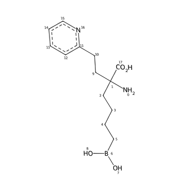 NC(CCCCB(O)O)(CCc1ccccn1)C(=O)O